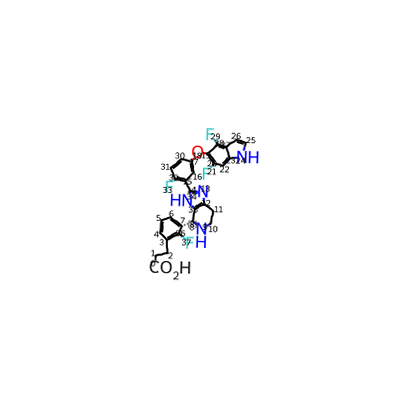 O=C(O)CCc1cccc([C@H]2NCCc3nc(-c4cc(Oc5c(F)cc6[nH]ccc6c5F)ccc4F)[nH]c32)c1F